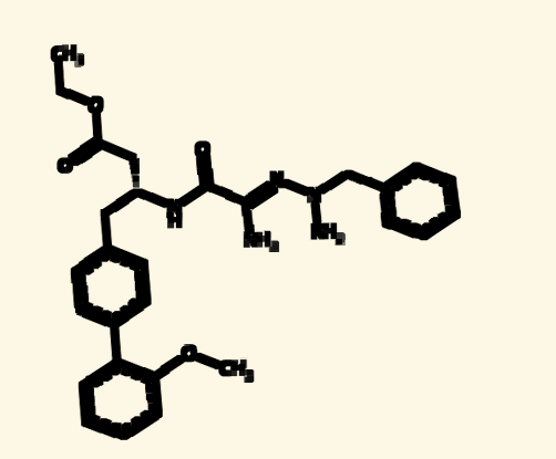 CCOC(=O)C[C@@H](Cc1ccc(-c2ccccc2OC)cc1)NC(=O)/C(N)=N/N(N)Cc1ccccc1